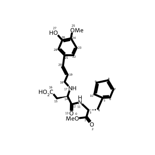 COC(=O)[C@@H](Cc1ccccc1)NC(=O)[C@@H](CC(=O)O)NC/C=C/c1ccc(OC)c(O)c1